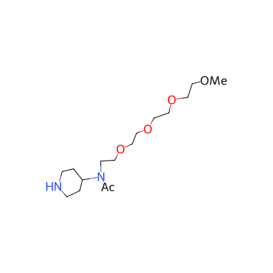 COCCOCCOCCOCCN(C(C)=O)C1CCNCC1